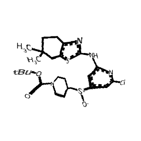 CC1(C)CCc2nc(Nc3cc([S+]([O-])C4CCN(C(=O)OC(C)(C)C)CC4)cc(Cl)n3)sc2C1